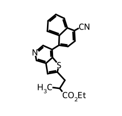 CCOC(=O)C(C)Cc1cc2cncc(-c3ccc(C#N)c4ccccc34)c2s1